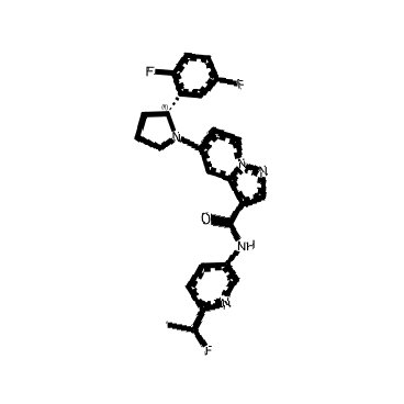 CC(F)c1ccc(NC(=O)c2cnn3ccc(N4CCC[C@@H]4c4cc(F)ccc4F)cc23)cn1